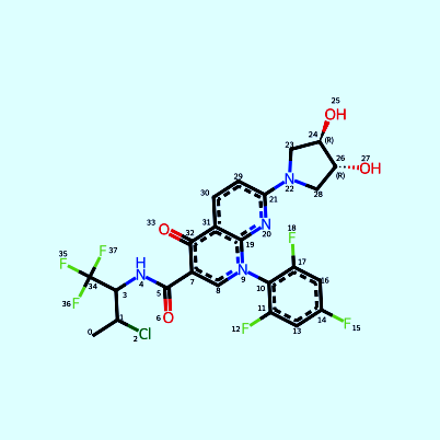 CC(Cl)C(NC(=O)c1cn(-c2c(F)cc(F)cc2F)c2nc(N3C[C@@H](O)[C@H](O)C3)ccc2c1=O)C(F)(F)F